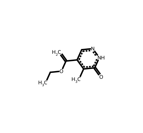 C=C(OCC)c1cn[nH]c(=O)c1C